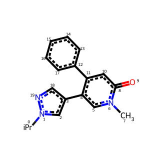 CC(C)n1cc(-c2cn(C)c(=O)cc2-c2ccccc2)cn1